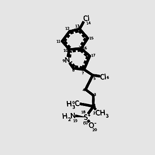 CC(C)(CCC(Cl)c1cnc2ccc(Cl)cc2c1)[S@+](N)[O-]